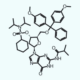 COc1ccc(C(OC[C@H]2O[C@@H](n3cnc4c(=O)[nH]c(NC(=O)C(C)C)nc43)C[C@@H]2OP(=O)(C2CCCCC2)N(C(C)C)C(C)C)(c2ccccc2)c2ccc(OC)cc2)cc1